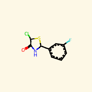 O=C1NC(c2cccc(F)c2)SC1Cl